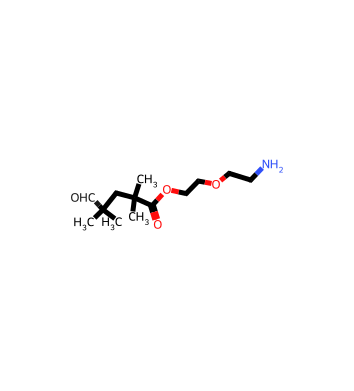 CC(C)(C=O)CC(C)(C)C(=O)OCCOCCN